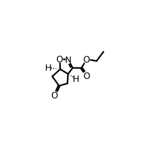 CCOC(=O)C1=NO[C@@H]2CC(=O)C[C@H]12